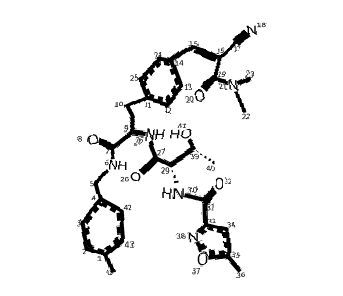 Cc1ccc(CNC(=O)C(Cc2ccc(C=C(C#N)C(=O)N(C)C)cc2)NC(=O)[C@@H](NC(=O)c2cc(C)on2)[C@@H](C)O)cc1